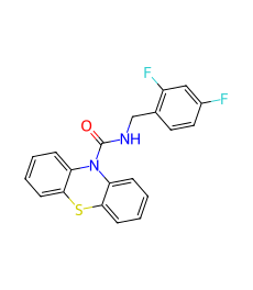 O=C(NCc1ccc(F)cc1F)N1c2ccccc2Sc2ccccc21